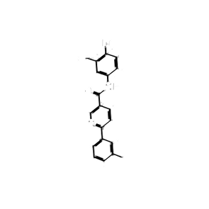 Cc1cccc(-c2ccc(C(=O)Nc3ccc(Br)c(Cl)c3)cn2)c1